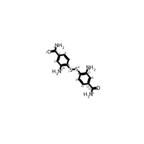 NC(=O)c1ccc(SSc2ccc(C(N)=O)cc2N)c(N)c1